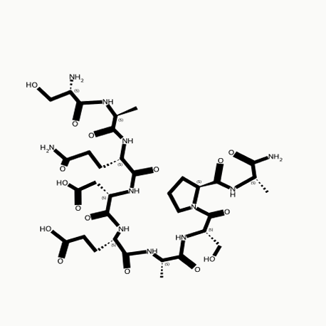 C[C@H](NC(=O)[C@@H]1CCCN1C(=O)[C@H](CO)NC(=O)[C@H](C)NC(=O)[C@H](CCC(=O)O)NC(=O)[C@H](CC(=O)O)NC(=O)[C@H](CCC(N)=O)NC(=O)[C@H](C)NC(=O)[C@@H](N)CO)C(N)=O